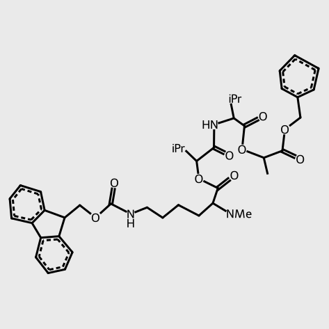 CNC(CCCCNC(=O)OCC1c2ccccc2-c2ccccc21)C(=O)OC(C(=O)NC(C(=O)OC(C)C(=O)OCc1ccccc1)C(C)C)C(C)C